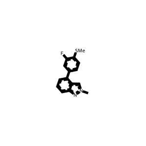 CSc1ccc(-c2cccc3nn(C)cc23)cc1F